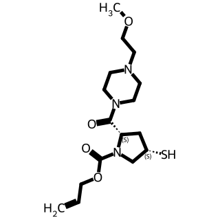 C=CCOC(=O)N1C[C@@H](S)C[C@H]1C(=O)N1CCN(CCOC)CC1